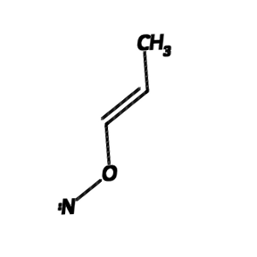 CC=CO[N]